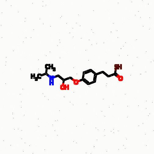 CC(C)NCC(O)COc1ccc(CCC(=O)S)cc1